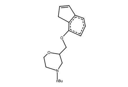 CCCCN1CCOC(COc2cccc3c2CC=C3)C1